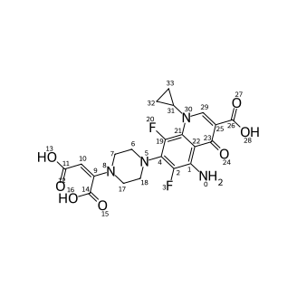 Nc1c(F)c(N2CCN(C(=CC(=O)O)C(=O)O)CC2)c(F)c2c1c(=O)c(C(=O)O)cn2C1CC1